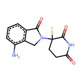 Nc1cccc2c1CN(C1(F)CCC(=O)NC1=O)C2=O